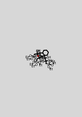 CCO[Si](CC(S)(S)C(S)(S)C1CCCCC1(C(S)(S)C(S)(S)C[Si](OCC)(OCC)OCC)C(S)(S)C(S)(S)C[Si](OCC)(OCC)OCC)(OCC)OCC